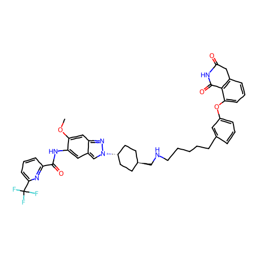 COc1cc2nn([C@H]3CC[C@H](CNCCCCCc4cccc(Oc5cccc6c5C(=O)NC(=O)C6)c4)CC3)cc2cc1NC(=O)c1cccc(C(F)(F)F)n1